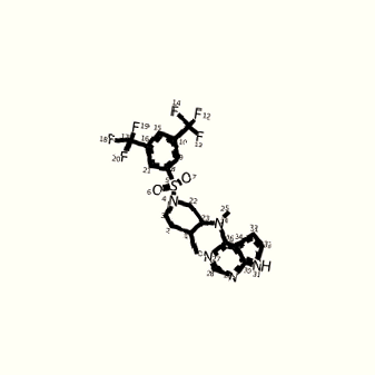 CC1CCN(S(=O)(=O)c2cc(C(F)(F)F)cc(C(F)(F)F)c2)CC1N(C)c1ncnc2[nH]ccc12